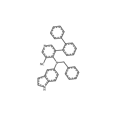 N#Cc1cncc(-c2ccccc2-c2ccccc2)c1N(Cc1ccccc1)c1ccc2[nH]ccc2c1